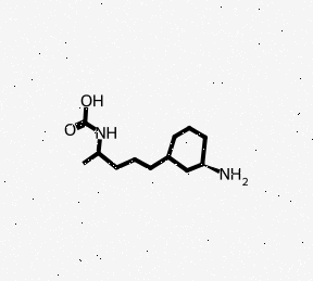 CC(CCCC1CCC[C@@H](N)C1)NC(=O)O